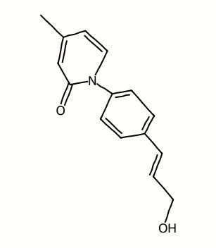 Cc1ccn(-c2ccc(C=CCO)cc2)c(=O)c1